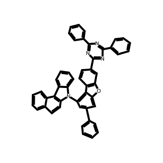 c1ccc(-c2cc(-n3c4ccccc4c4c5ccccc5ccc43)c3c(c2)oc2cc(-c4nc(-c5ccccc5)nc(-c5ccccc5)n4)ccc23)cc1